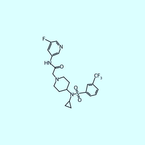 O=C(CN1CCC(N(C2CC2)S(=O)(=O)c2cccc(C(F)(F)F)c2)CC1)Nc1cncc(F)c1